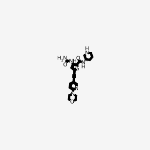 NC(=O)Nc1cc(C#Cc2ccc(N3CCOCC3)nc2)sc1C(=O)N[C@H]1CCCNC1